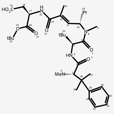 CN[C@H](C(=O)N[C@H](C(=O)N(C)[C@H](/C=C(\C)C(=O)N[C@H](CC(=O)O)C(=O)OC(C)(C)C)C(C)C)C(C)(C)C)C(C)(C)c1ccccc1